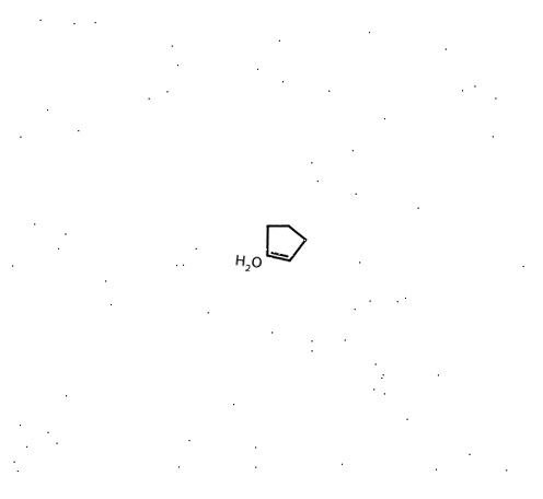 C1=CCCC1.O